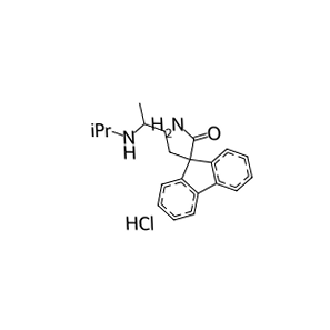 CC(C)NC(C)CCC1(C(N)=O)c2ccccc2-c2ccccc21.Cl